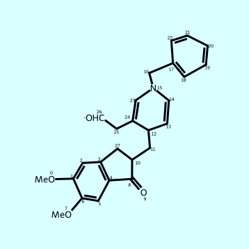 COc1cc2c(cc1OC)C(=O)C(CC1C=CN(Cc3ccccc3)C=C1C[C]=O)C2